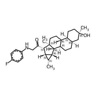 C[C@H]1[C@@H]2[C@H]1[C@H](C(=O)CNc1ccc(F)cc1)[C@@]1(C)CC[C@H]3[C@@H](CC[C@@H]4C[C@](C)(O)CC[C@@H]43)[C@H]21